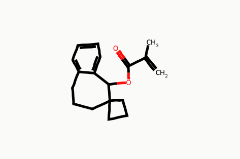 C=C(C)C(=O)OC1c2ccccc2CCCC12CCC2